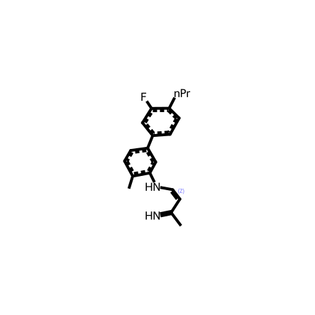 CCCc1ccc(-c2ccc(C)c(N/C=C\C(C)=N)c2)cc1F